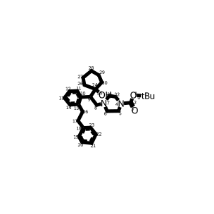 CC(C)(C)OC(=O)N1CCN(CC(c2ccccc2CCc2ccccc2)C2(O)CCCCC2)CC1